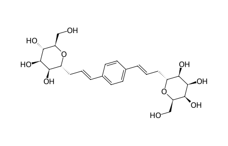 OC[C@H]1O[C@H](C/C=C/c2ccc(/C=C/C[C@H]3O[C@H](CO)[C@@H](O)[C@H](O)[C@@H]3O)cc2)[C@@H](O)[C@@H](O)[C@H]1O